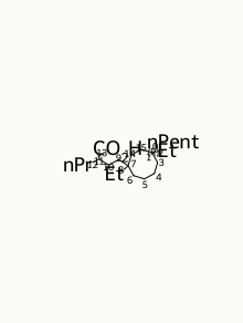 CCCCC[C@]1(CC)CCCCC(CC)(CCC(CCC)C(=O)O)CC1